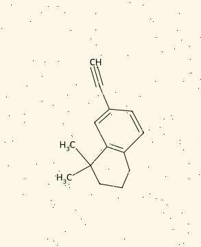 C#Cc1ccc2c(c1)C(C)(C)CCC2